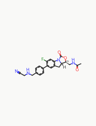 CC(=O)NC[C@@H]1OC(=O)N2c3cc(F)c(-c4ccc(CNCC#N)cc4)cc3C[C@@H]12